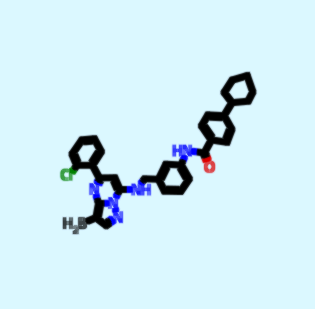 Bc1cnn2c(NCc3cccc(NC(=O)c4ccc(C5CCCCC5)cc4)c3)cc(-c3ccccc3Cl)nc12